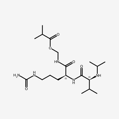 CC(C)N[C@H](C(=O)N[C@@H](CCCNC(N)=O)C(=O)NCOC(=O)C(C)C)C(C)C